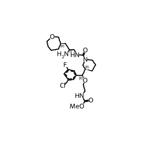 COC(=O)NCCO[C@@H](c1cc(F)cc(Cl)c1)[C@@H]1CCCN(C(=O)NC[C@@H](N)C[C@H]2CCCCOC2)C1